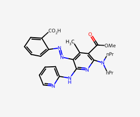 CCCN(CCC)c1nc(Nc2ccccn2)c(N=Nc2ccccc2C(=O)O)c(C)c1C(=O)OC